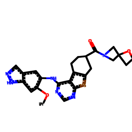 CC(C)Oc1cc2[nH]ncc2cc1Nc1ncnc2sc3c(c12)CCC(C(=O)N1CC2(CCO2)C1)C3